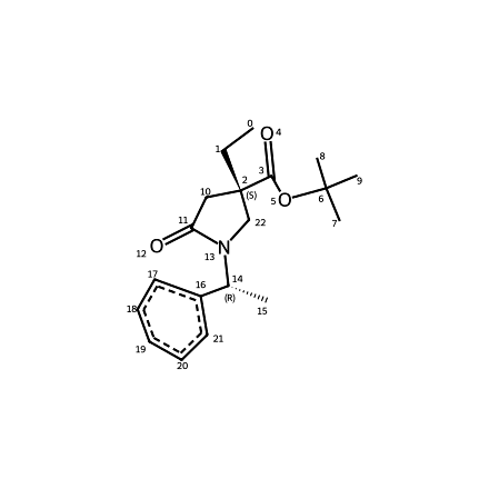 CC[C@]1(C(=O)OC(C)(C)C)CC(=O)N([C@H](C)c2ccccc2)C1